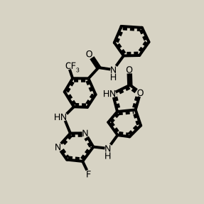 O=C(Nc1ccccc1)c1ccc(Nc2ncc(F)c(Nc3ccc4oc(=O)[nH]c4c3)n2)cc1C(F)(F)F